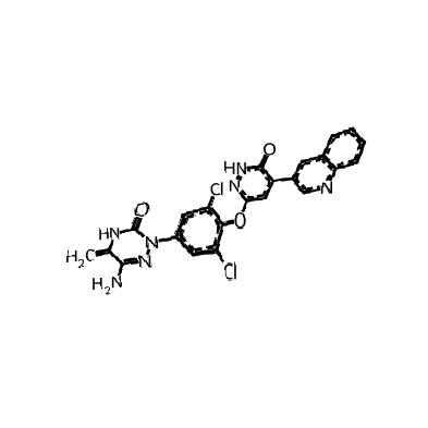 C=C1NC(=O)N(c2cc(Cl)c(Oc3cc(-c4cnc5ccccc5c4)c(=O)[nH]n3)c(Cl)c2)N=C1N